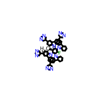 CC(C)(C)c1c(-n2c3ccc(-c4cncnc4)cc3c3cc(-c4cncnc4)ccc32)c(-n2c3ccccc3c3ccccc32)c(F)c(-n2c3ccccc3c3ccccc32)c1-n1c2ccc(-c3cncnc3)cc2c2cc(-c3cncnc3)ccc21